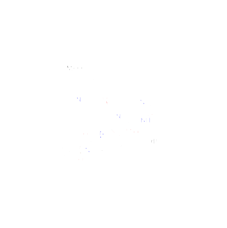 C=CC(=O)N(CC)CC(NC(=O)OC(C)(C)C)C(=O)N1C[C@H](Oc2cc(-c3ccccc3)nc3cc(OC)ccc23)C[C@H]1C(=O)N[C@]1(C(=O)NS(=O)(=O)C2CC2)C[C@H]1C=C